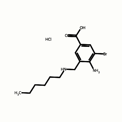 CCCCCCNCc1cc(C(=O)O)cc(Br)c1N.Cl